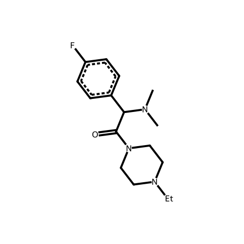 CCN1CCN(C(=O)C(c2ccc(F)cc2)N(C)C)CC1